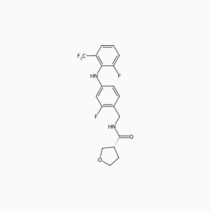 O=C(NCc1ccc(Nc2c(F)cccc2C(F)(F)F)cc1F)[C@@H]1CCOC1